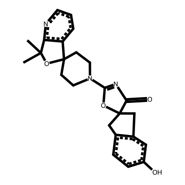 CC1(C)OC2(CCN(C3=NC(=O)C4(Cc5ccc(O)cc5C4)O3)CC2)c2cccnc21